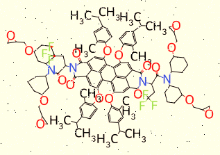 Cc1cc(C(C)C)ccc1Oc1cc2c3c(cc(Oc4ccc(C(C)C)cc4C)c4c5c(Oc6ccc(C(C)C)cc6C)cc6c7c(cc(Oc8ccc(C(C)C)cc8C)c(c1c34)c75)C(=O)N(C(CC(F)(F)F)C(=O)N(C1CCCC(OCC3CO3)C1)C1CCCC(OCC3CO3)C1)C6=O)C(=O)N(C(CC(F)(F)F)C(=O)N(C1CCCC(OCC3CO3)C1)C1CCCC(OCC3CO3)C1)C2=O